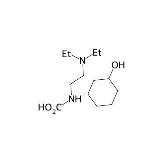 CCN(CC)CCNC(=O)O.OC1CCCCC1